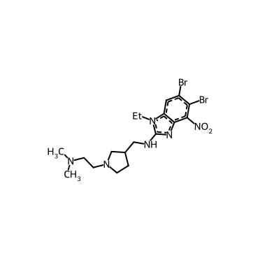 CCn1c(NCC2CCN(CCN(C)C)C2)nc2c([N+](=O)[O-])c(Br)c(Br)cc21